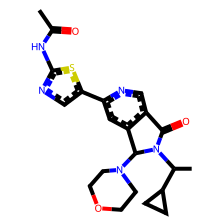 CC(=O)Nc1ncc(-c2cc3c(cn2)C(=O)N(C(C)C2CC2)C3N2CCOCC2)s1